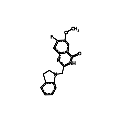 COc1cc2c(=O)[nH]c(CN3CCc4ccccc43)nc2cc1F